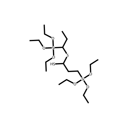 CCO[Si](CCC(S)SC(CC)[Si](OCC)(OCC)OCC)(OCC)OCC